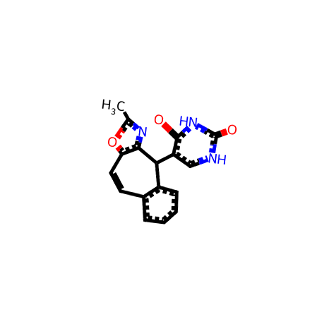 Cc1nc2c(o1)C=Cc1ccccc1C2c1c[nH]c(=O)[nH]c1=O